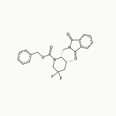 C[C@@H]1CC(F)(F)CN(C(=O)OCc2ccccc2)[C@@H]1CN1C(=O)c2ccccc2C1=O